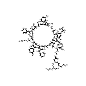 CC(=O)NCCCC[C@H]1C(=O)N[C@@H](Cc2c[nH]c3ccc(O)cc23)C(=O)N[C@@H](Cc2c[nH]c3ccccc23)C(=O)N[C@@H](C2CC2)C(=O)N(C)[C@H](C(=O)N(C)[C@@H](Cc2ccc(F)cc2)C(=O)N[C@@H](CCCCNC(=O)CN2CCN(CC(=O)O)CCN(CC(=O)O)CC2)C(N)=O)CNC(=O)CCC[C@H](NC(C)=O)C(=O)N[C@@H](Cc2ccc(O)cc2)C(=O)N[C@@H](CO)C(=O)N(C)[C@@H](CCc2ccccc2)C(=O)N1C.O=C(O)C(F)(F)F